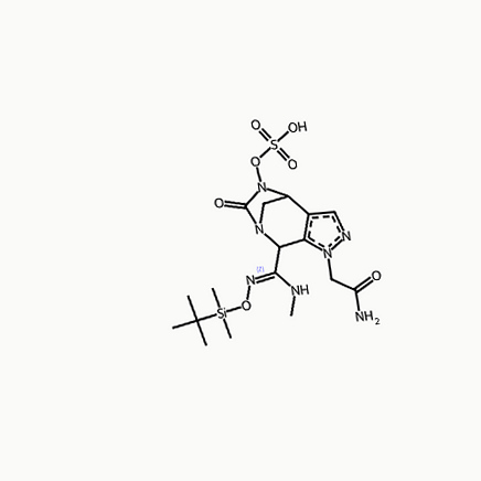 CN/C(=N\O[Si](C)(C)C(C)(C)C)C1c2c(cnn2CC(N)=O)C2CN1C(=O)N2OS(=O)(=O)O